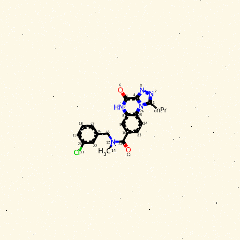 CCCc1nnc2c(=O)[nH]c3cc(C(=O)N(C)Cc4cccc(Cl)c4)ccc3n12